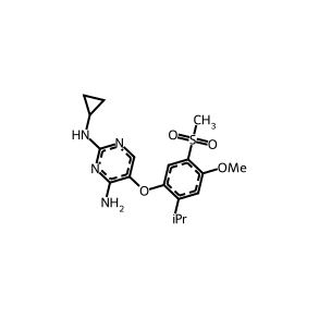 COc1cc(C(C)C)c(Oc2cnc(NC3CC3)nc2N)cc1S(C)(=O)=O